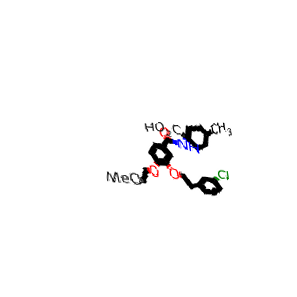 COCCOc1ccc(C(=O)NC2(C(=O)O)CCC(C)CC2)cc1OCCc1cccc(Cl)c1